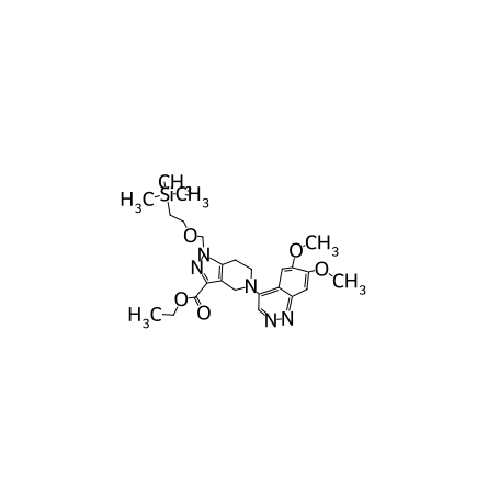 CCOC(=O)c1nn(COCC[Si](C)(C)C)c2c1CN(c1cnnc3cc(OC)c(OC)cc13)CC2